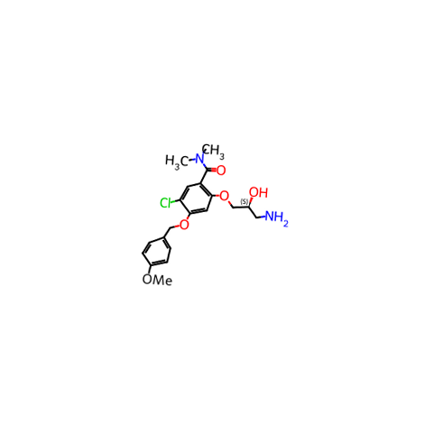 COc1ccc(COc2cc(OC[C@@H](O)CN)c(C(=O)N(C)C)cc2Cl)cc1